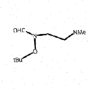 CNCCN(C=O)OC(C)(C)C